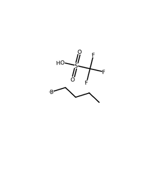 O=S(=O)(O)C(F)(F)F.[B]CCCC